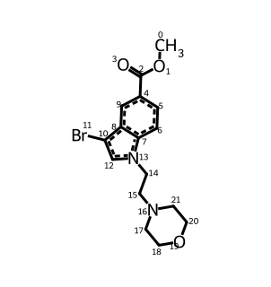 COC(=O)c1ccc2c(c1)c(Br)cn2CCN1CCOCC1